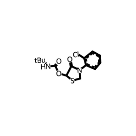 CC(C)(C)NC(=O)OC1SCN(c2ccccc2Cl)C1=O